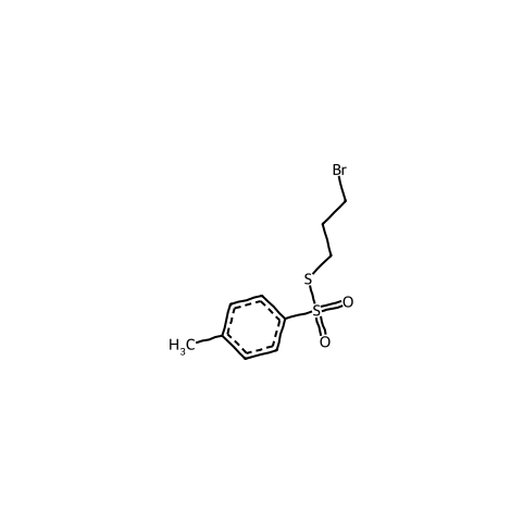 Cc1ccc(S(=O)(=O)SCCCBr)cc1